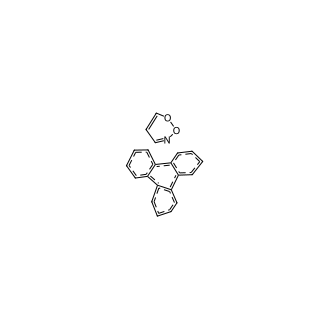 C1=COON=C1.c1ccc2c(c1)c1ccccc1c1ccccc21